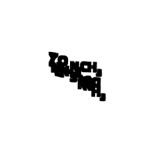 Cc1cc(-c2sc(N3CCN(CC4CC4)C3=O)nc2C)n[nH]1